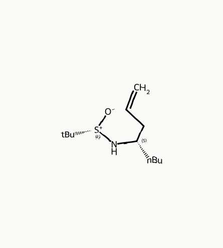 C=CC[C@H](CCCC)N[S@@+]([O-])C(C)(C)C